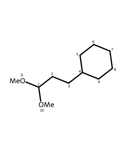 COC(CCC1CCCCC1)OC